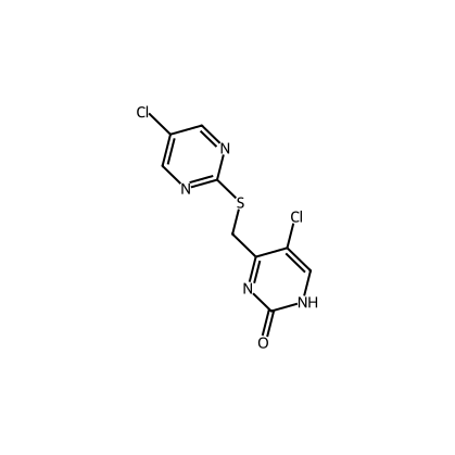 O=c1nc(CSc2ncc(Cl)cn2)c(Cl)c[nH]1